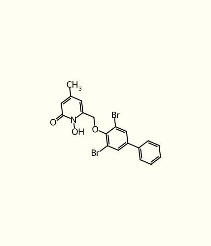 Cc1cc(COc2c(Br)cc(-c3ccccc3)cc2Br)n(O)c(=O)c1